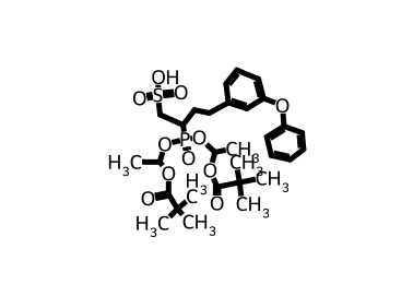 CC(OC(=O)C(C)(C)C)OP(=O)(OC(C)OC(=O)C(C)(C)C)C(CCc1cccc(Oc2ccccc2)c1)CS(=O)(=O)O